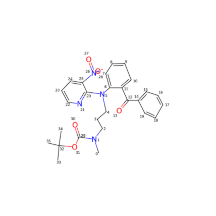 CN(CCCN(c1ccccc1C(=O)c1ccccc1)c1ncccc1[N+](=O)[O-])C(=O)OC(C)(C)C